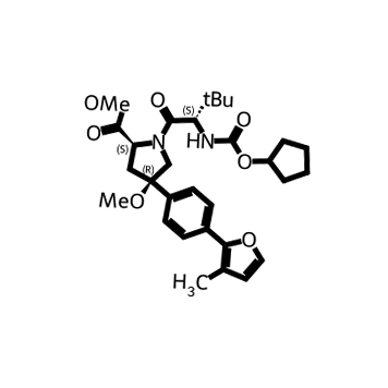 COC(=O)[C@@H]1C[C@@](OC)(c2ccc(-c3occc3C)cc2)CN1C(=O)[C@@H](NC(=O)OC1CCCC1)C(C)(C)C